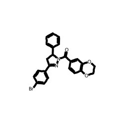 O=C(c1ccc2c(c1)OCCO2)N1N=C(c2ccc(Br)cc2)CC1c1ccccc1